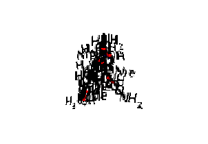 CCN(CC(=O)NCCOCCOCCN)[C@H]1CO[C@@H](O[C@H]2[C@H](O[C@H]3C#CC=CC#C[C@]4(O)CC(=O)C(NC(=O)OC)=C3/C4=C\CSSC(C)(C)CC(=O)NN)O[C@H](C)[C@@H](NO[C@H]3C[C@H](O)[C@H]([SH]=C(O)c4c(C)c(I)c(O[C@@H]5O[C@@H](C)[C@H](O)[C@@H](OC)[C@H]5O)c(OC)c4OC)[C@@H](C)O3)[C@@H]2O)C[C@@H]1OC